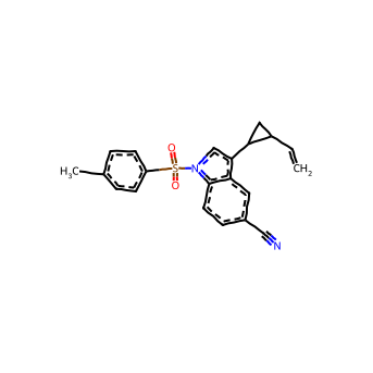 C=CC1CC1c1cn(S(=O)(=O)c2ccc(C)cc2)c2ccc(C#N)cc12